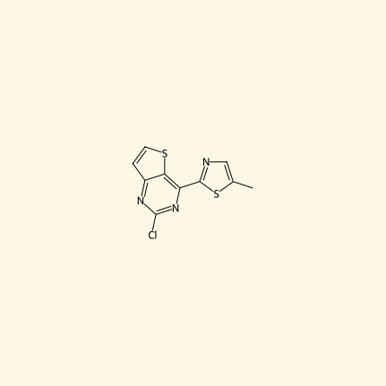 Cc1cnc(-c2nc(Cl)nc3ccsc23)s1